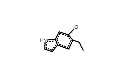 CCc1cc2cc[nH]c2cc1Cl